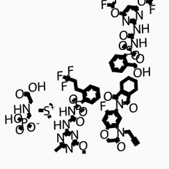 C#CCN1C(=O)COc2cc(F)c(N3C(=O)C4=C(CCCC4)C3=O)cc21.COc1nc(C)nc(NC(=O)NS(=O)(=O)c2ccccc2CCC(F)(F)F)n1.C[S+](C)C.O=C(Nc1nc(OC(F)F)cc(OC(F)F)n1)NS(=O)(=O)c1ccccc1C(=O)O.O=C(O)CNCP(=O)([O-])O